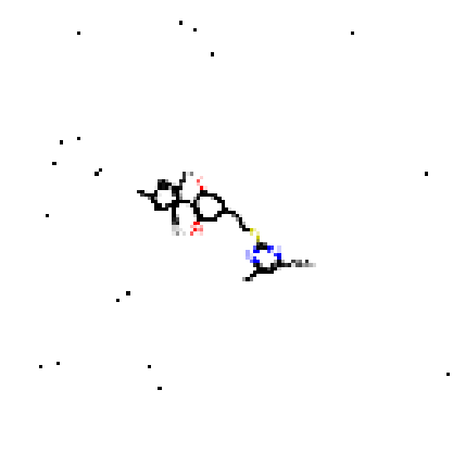 CCc1cc(C)cc(CC)c1C1=C(O)CC(CCSc2nc(C)cc(OC)n2)CC1=O